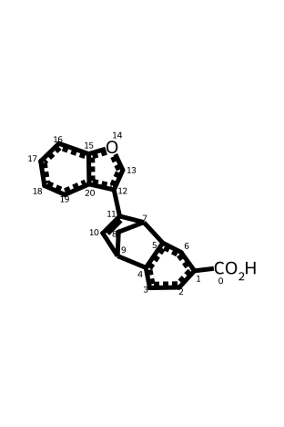 O=C(O)c1ccc2c(c1)C1CC2C=C1c1coc2ccccc12